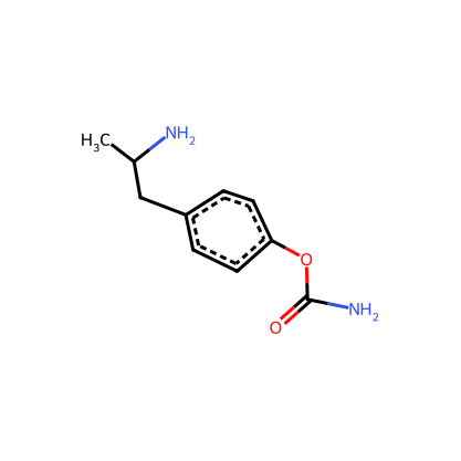 CC(N)Cc1ccc(OC(N)=O)cc1